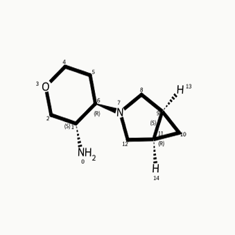 N[C@@H]1COCC[C@H]1N1C[C@H]2C[C@H]2C1